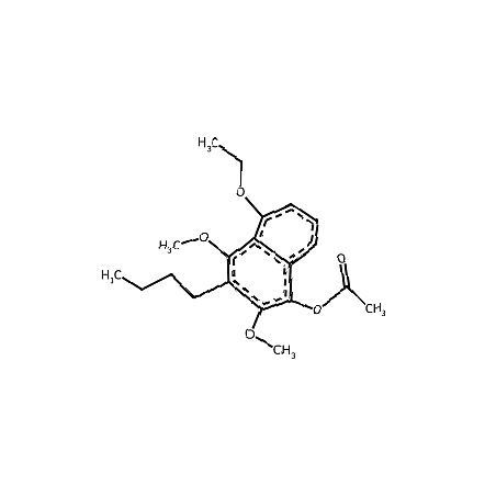 CCCCc1c(OC)c(OC(C)=O)c2cccc(OCC)c2c1OC